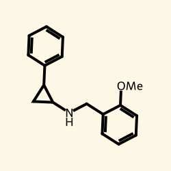 COc1ccccc1CNC1CC1c1ccccc1